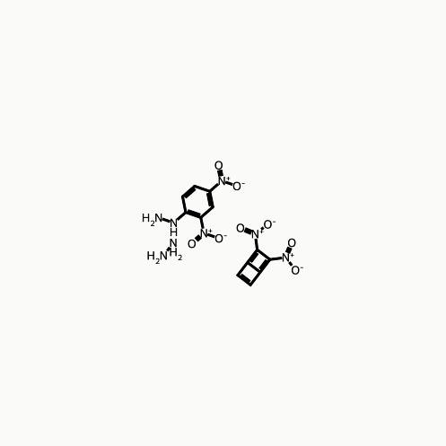 NN.NNc1ccc([N+](=O)[O-])cc1[N+](=O)[O-].O=[N+]([O-])c1c2ccc-2c1[N+](=O)[O-]